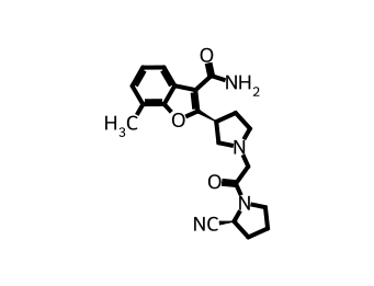 Cc1cccc2c(C(N)=O)c([C@H]3CCN(CC(=O)N4CCC[C@H]4C#N)C3)oc12